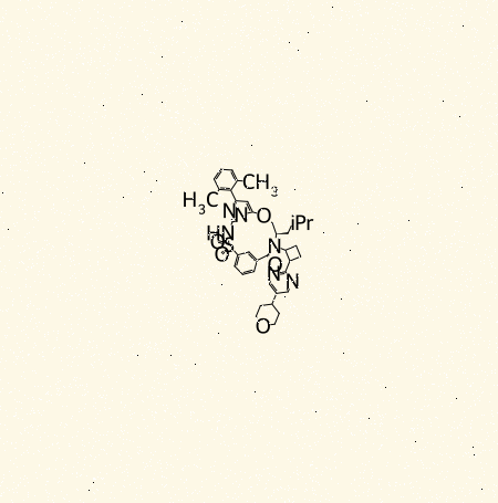 Cc1cccc(C)c1-c1cc2nc(n1)NS(=O)(=O)c1cccc(c1)C(=O)N(C1CCC1c1ncc(C3CCOCC3)cn1)[C@H](CC(C)C)CO2